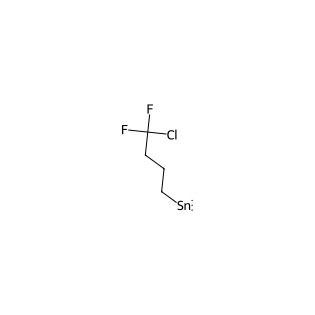 FC(F)(Cl)CC[CH2][Sn]